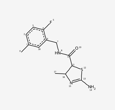 Cc1ccc(F)c(CNC(=O)C2SC(N)=NC2C)c1